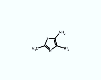 Cc1nc(N)c(N)s1